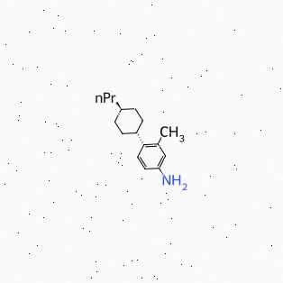 CCC[C@H]1CC[C@H](c2ccc(N)cc2C)CC1